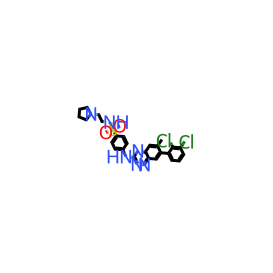 Cc1cc2nc(Nc3ccc(S(=O)(=O)NCCN4CCCC4)cc3)nnc2cc1-c1cccc(Cl)c1Cl